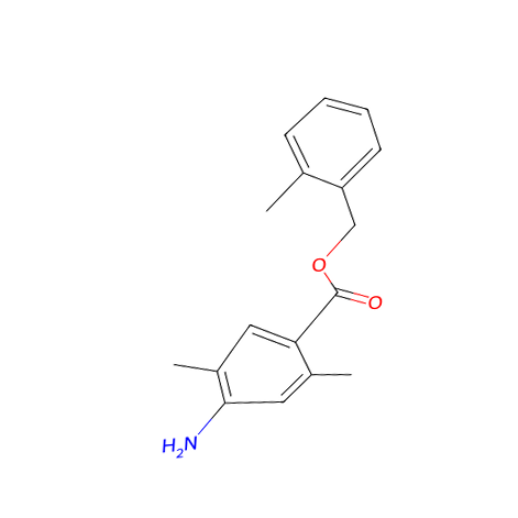 Cc1cc(C(=O)OCc2ccccc2C)c(C)cc1N